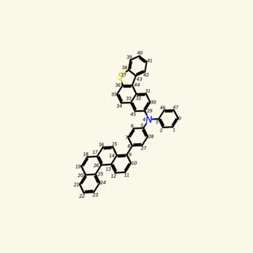 c1ccc(N(c2ccc(-c3cccc4c3ccc3ccc5ccccc5c34)cc2)c2ccc3c(ccc4sc5ccccc5c43)c2)cc1